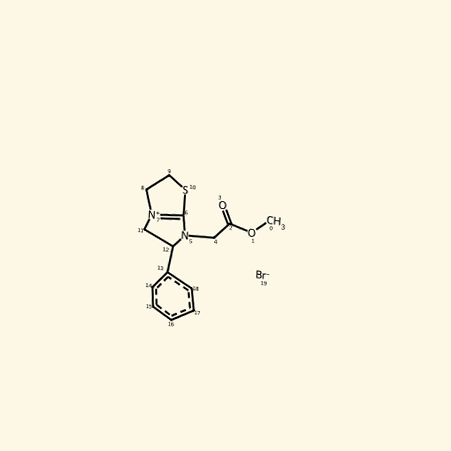 COC(=O)CN1C2=[N+](CCS2)CC1c1ccccc1.[Br-]